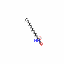 CCCCCCCCCCCCCCCC(=O)NC[C]=O